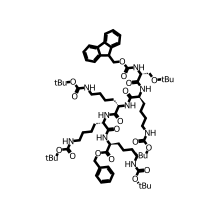 CC(C)(C)OC[C@@H](NC(=O)OCC1c2ccccc2-c2ccccc21)C(=O)N[C@@H](CCCCNC(=O)OC(C)(C)C)C(=O)N[C@@H](CCCCNC(=O)OC(C)(C)C)C(=O)N[C@@H](CCCCNC(=O)OC(C)(C)C)C(=O)N[C@@H](CCCCNC(=O)OC(C)(C)C)C(=O)OCc1ccccc1